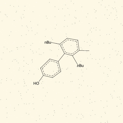 CCCCc1ccc(C)c(CCCC)c1-c1ccc(O)cc1